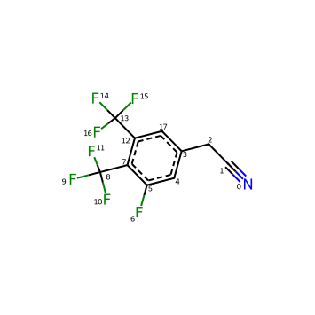 N#CCc1cc(F)c(C(F)(F)F)c(C(F)(F)F)c1